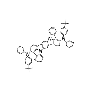 CC(C)(C)c1ccc(N(c2ccccc2)c2ccc3c4cc5c(cc4n4c6ccccc6c2c34)c2ccc(N(c3ccccc3)c3ccc(C(C)(C)C)cc3)c3c4ccccc4n5c23)cc1